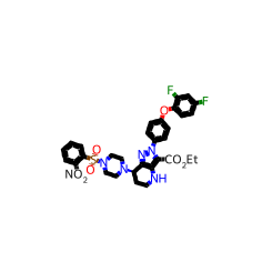 CCOC(=O)c1c2c(nn1-c1ccc(Oc3ccc(F)cc3F)cc1)[C@H](N1CCN(S(=O)(=O)c3ccccc3[N+](=O)[O-])CC1)CCN2